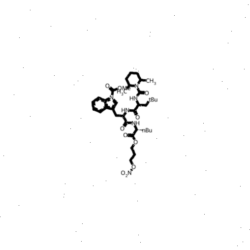 CCCC[C@@H](NC(=O)C(Cc1cn(C(=O)OC)c2ccccc12)NC(=O)C(CC(C)(C)C)NC(=O)N1C(C)CCCC1C)C(=O)OCCCO[N+](=O)[O-]